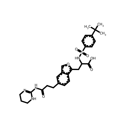 CC(C)(C)c1ccc(S(=O)(=O)NC(Cc2occ3cc(CCC(=O)NC4=NCCCN4)ccc23)C(=O)O)cc1